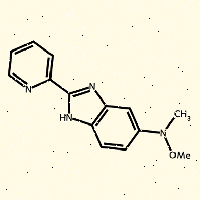 CON(C)c1ccc2[nH]c(-c3ccccn3)nc2c1